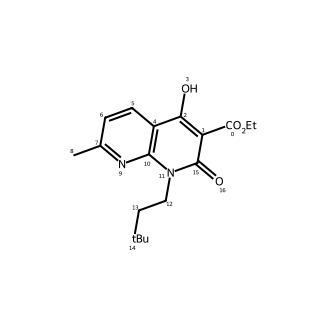 CCOC(=O)c1c(O)c2ccc(C)nc2n(CCC(C)(C)C)c1=O